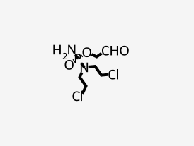 NP(=O)(OCC=O)N(CCCl)CCCl